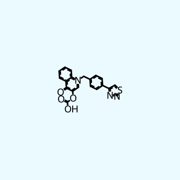 O=C(O)Oc1cn(Cc2ccc(-c3csnn3)cc2)c2ccccc2c1=O